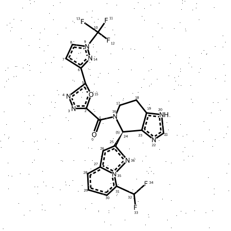 O=C(c1nnc(-c2ccn(C(F)(F)F)n2)o1)N1CCc2[nH]cnc2[C@H]1c1cc2cccc(C(F)F)n2n1